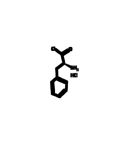 Cl.N[C@H](Cc1ccccc1)C(=O)Cl